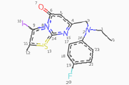 CCN(Cc1cc(=O)n2c(I)c(C)sc2n1)c1ccc(F)cc1